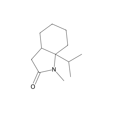 CC(C)C12CCCCC1CC(=O)N2C